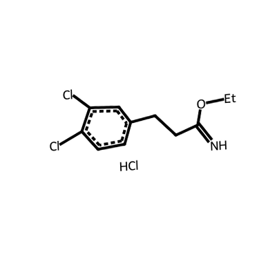 CCOC(=N)CCc1ccc(Cl)c(Cl)c1.Cl